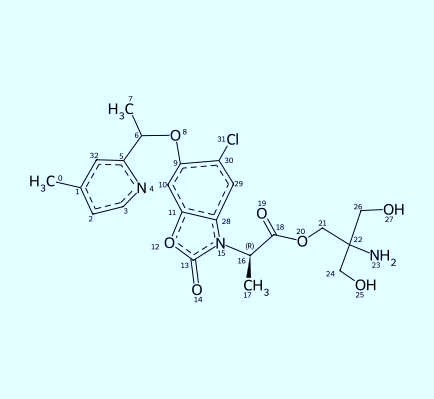 Cc1ccnc(C(C)Oc2cc3oc(=O)n([C@H](C)C(=O)OCC(N)(CO)CO)c3cc2Cl)c1